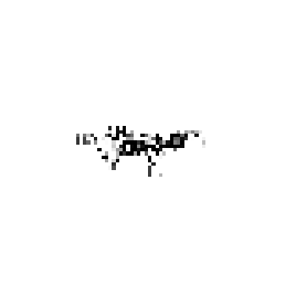 Cc1cc(OC(C)c2sc(-c3ccc(C(F)(F)F)cc3)nc2C)ccc1OC(C)(C)C(=O)O